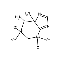 CCC[N+]1([O-])C[N+]([O-])(CCC)C(N)C2(N)N=CN=C21